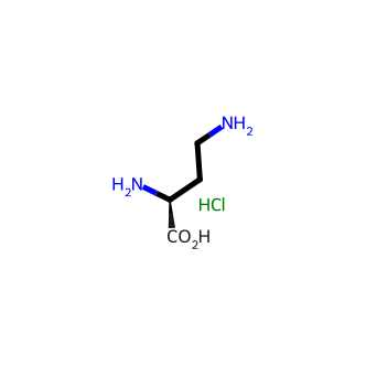 Cl.NCC[C@H](N)C(=O)O